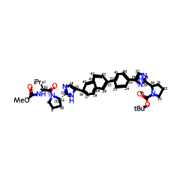 COC(=O)N[C@H](C(=O)N1CCC[C@H]1c1ncc(-c2ccc3cc(-c4ccc(-c5cnc(C6CCCN6C(=O)OC(C)(C)C)[nH]5)cc4)ccc3c2)[nH]1)C(C)C